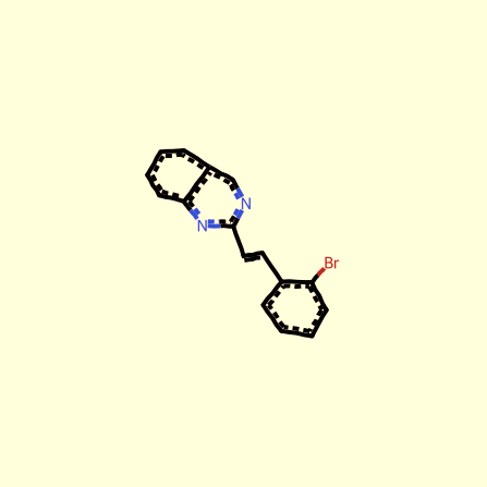 Brc1ccccc1/C=C/c1ncc2ccccc2n1